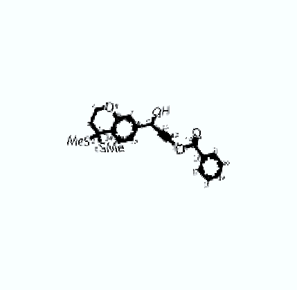 CSC1(SC)CCOc2cc(C(O)C#COC(=O)c3ccccc3)ccc21